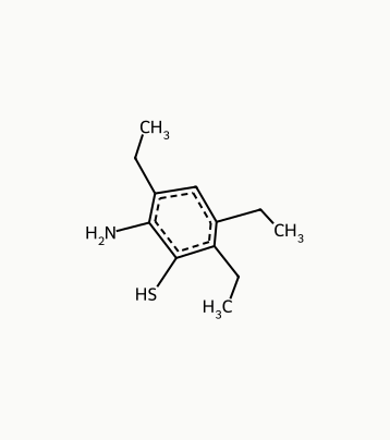 CCc1cc(CC)c(CC)c(S)c1N